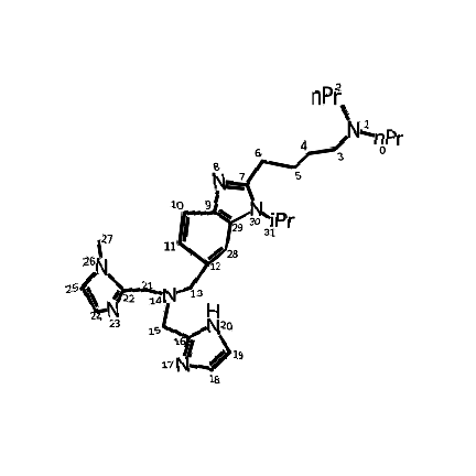 CCCN(CCC)CCCCc1nc2ccc(CN(Cc3ncc[nH]3)Cc3nccn3C)cc2n1C(C)C